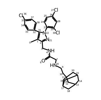 Cc1c(CNC(=O)CNCCC23CC4CC(CC(C4)C2)C3)nn(-c2ccc(Cl)cc2Cl)c1-c1ccc(Cl)cc1